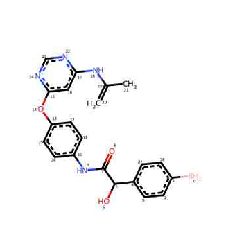 Bc1ccc(C(O)C(=O)Nc2ccc(Oc3cc(NC(=C)C)ncn3)cc2)cc1